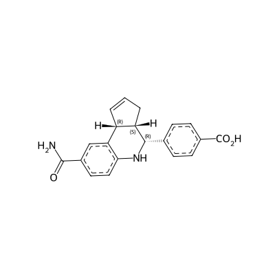 NC(=O)c1ccc2c(c1)[C@@H]1C=CC[C@@H]1[C@H](c1ccc(C(=O)O)cc1)N2